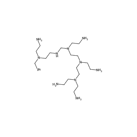 CC(C)CN(CCN)CCNCN(CCN)CCN(CCN)CCN(CCN)CCN